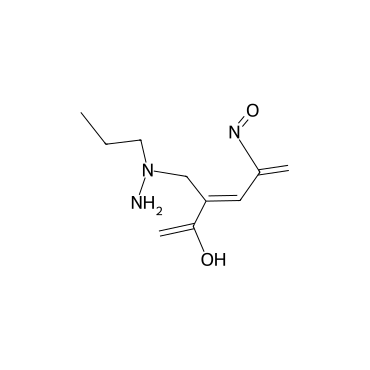 C=C(/C=C(\CN(N)CCC)C(=C)O)N=O